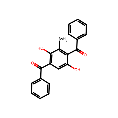 O=C(c1ccccc1)c1cc(O)c(C(=O)c2ccccc2)c([AsH2])c1O